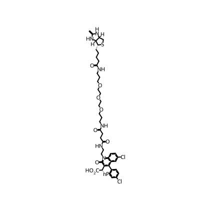 C=C1N[C@@H]2[C@@H](CS[C@@H]2CCCCC(=O)NCCCOCCOCCOCCCNC(=O)CCC(=O)NCCn2c(=O)c([C@H](CCC)C(=O)O)c(-c3ccc(Cl)cc3)c3cc(Cl)ccc32)N1